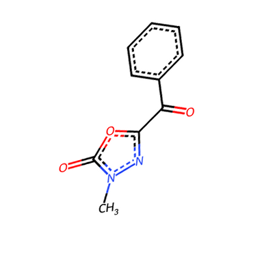 Cn1nc(C(=O)c2ccccc2)oc1=O